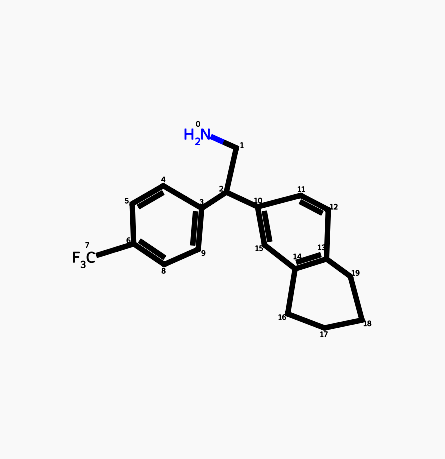 NCC(c1ccc(C(F)(F)F)cc1)c1ccc2c(c1)CCCC2